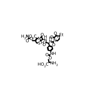 CCN1CCN(C(=O)N[C@@H](C(=O)N[C@@H]2C(=O)N3C(C(=O)O)=C(COC(N)=O)CS[C@H]23)c2ccc(NC(=O)OC[C@@H](N)C(=O)O)cc2)C(=O)C1=O